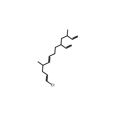 C=CC(C)CC(C=C)CCC=CC(C)CC=CCC